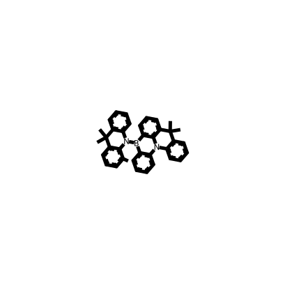 Cc1cccc2c1N(B1c3ccccc3N3c4ccccc4C(C)(C)c4cccc1c43)c1ccccc1C2(C)C